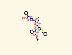 CCCC(NC(=O)C1C[C@@H](SCc2ccccc2)CN1C(=O)C(NC(=O)OCC(C)C)C1CCCCC1)C(=O)C(=O)NCC(=O)NC(C(=O)O)c1ccccc1